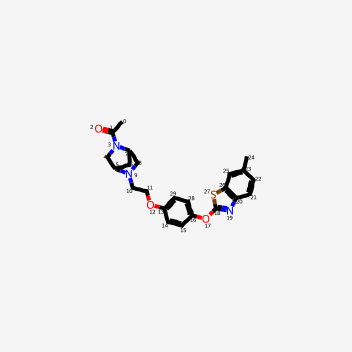 CC(=O)N1CC2CC1CN2CCOc1ccc(Oc2nc3ccc(C)cc3s2)cc1